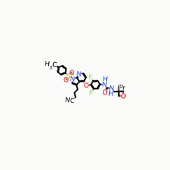 Cc1ccc(S(=O)(=O)n2cc(CCCC#N)c3c(Oc4c(F)cc(NC(=O)NCC5(C(C)C)COC5)cc4F)ccnc32)cc1